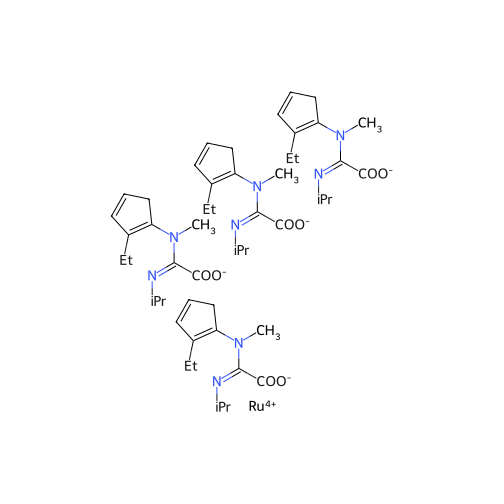 CCC1=C(N(C)C(=NC(C)C)C(=O)[O-])CC=C1.CCC1=C(N(C)C(=NC(C)C)C(=O)[O-])CC=C1.CCC1=C(N(C)C(=NC(C)C)C(=O)[O-])CC=C1.CCC1=C(N(C)C(=NC(C)C)C(=O)[O-])CC=C1.[Ru+4]